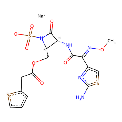 CON=C(C(=O)N[C@H]1C(=O)N(S(=O)(=O)[O-])[C@H]1COC(=O)Cc1cccs1)c1csc(N)n1.[Na+]